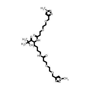 Cn1cc(COCCOCCC(=O)NCCCCC(NC(=O)CCOCCOCc2cn(C)nn2)C(=O)C(C)(C)C)nn1